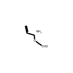 C=CCOC=O.N